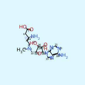 CN(C/C=C(\N)CC(=O)O)C[C@H]1O[C@@H](n2cnc3c(N)ncnc32)[C@H](O)[C@@H]1O